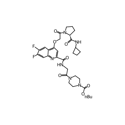 CCCCOC(=O)N1CCN(C(=O)CNC(=O)c2cc(OCC(=O)N3CCC[C@H]3C(=O)NC3CCC3)c3cc(F)c(F)cc3n2)CC1